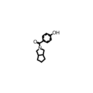 O=C(c1ccc(O)cc1)N1CC2CCCC2C1